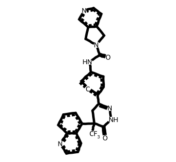 O=C(Nc1ccc(C2=NNC(=O)C(c3cccc4ncccc34)(C(F)(F)F)C2)cc1)N1Cc2ccncc2C1